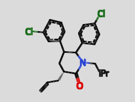 C=CC[C@@H]1CC(c2cccc(Cl)c2)C(c2ccc(Cl)cc2)N(CC(C)C)C1=O